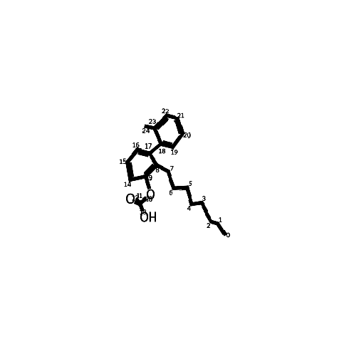 CCCCCCCCc1c(OC(=O)O)cccc1-c1ccccc1C